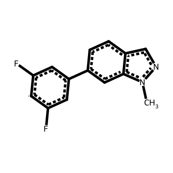 Cn1ncc2ccc(-c3cc(F)[c]c(F)c3)cc21